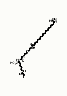 O=C(CI)NCCCCC(NC(=O)COCCOCCNC(=O)CCCCCCCCCCCCCCCc1nnn[nH]1)C(=O)O